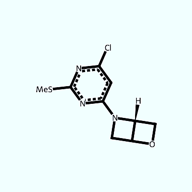 CSc1nc(Cl)cc(N2CC3OC[C@H]32)n1